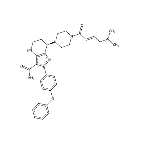 CN(C)C/C=C/C(=O)N1CCN([C@@H]2CCNc3c2nn(-c2ccc(Oc4ccccc4)cc2)c3C(N)=O)CC1